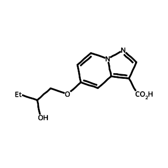 CCC(O)COc1ccn2ncc(C(=O)O)c2c1